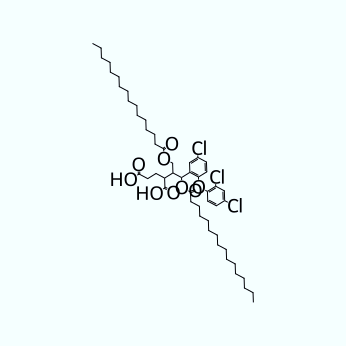 CCCCCCCCCCCCCCCC(=O)OCC(C(CCC(=O)O)C(=O)O)C(OC(=O)CCCCCCCCCCCCCCC)c1cc(Cl)ccc1Oc1ccc(Cl)cc1Cl